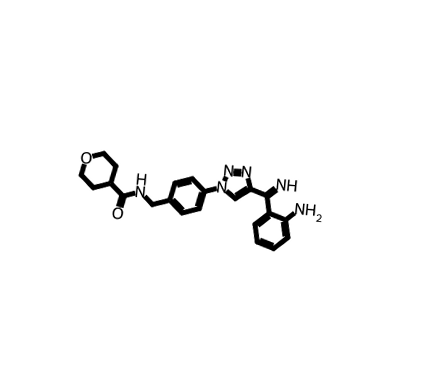 N=C(c1cn(-c2ccc(CNC(=O)C3CCOCC3)cc2)nn1)c1ccccc1N